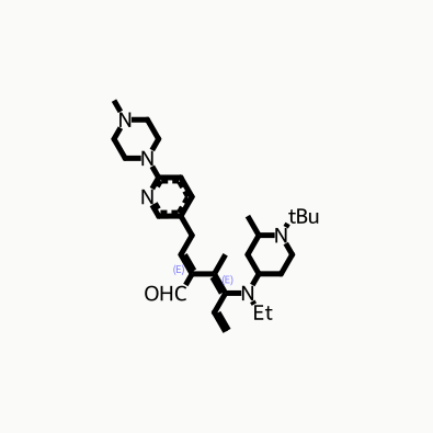 C=C/C(=C(C)\C(C=O)=C/Cc1ccc(N2CCN(C)CC2)nc1)N(CC)C1CCN(C(C)(C)C)C(C)C1